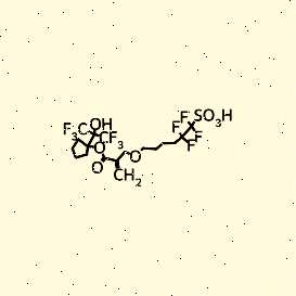 C=C(COCCCCC(F)(F)C(F)(F)S(=O)(=O)O)C(=O)OC1(C(O)(C(F)(F)F)C(F)(F)F)CCCC1